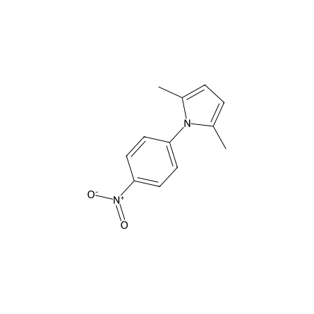 Cc1ccc(C)n1-c1ccc([N+](=O)[O-])cc1